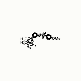 COc1ccc(S(=O)(=O)NCc2cccc(B3OC(C)(C)C(C)(C)O3)c2)cc1